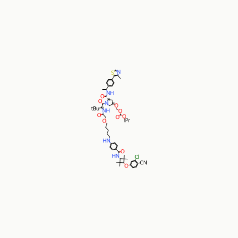 Cc1ncsc1-c1ccc(C(C)NC(=O)[C@@H]2C[C@@H](OCOC(=O)OC(C)C)CN2C(=O)[C@@H](NC(=O)COCCCCCNc2ccc(C(=O)N[C@H]3C(C)(C)[C@H](Oc4ccc(C#N)c(Cl)c4)C3(C)C)cc2)C(C)(C)C)cc1